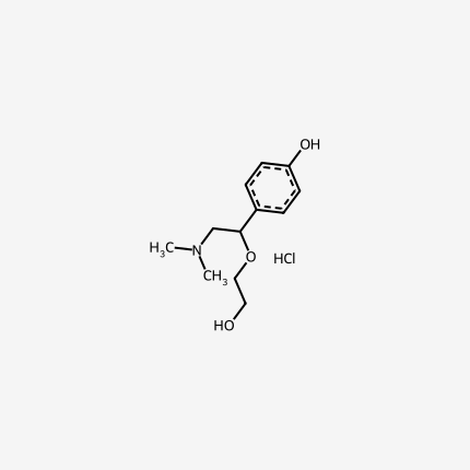 CN(C)CC(OCCO)c1ccc(O)cc1.Cl